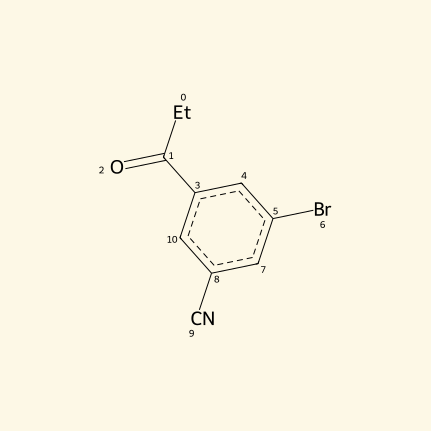 CCC(=O)c1cc(Br)cc(C#N)c1